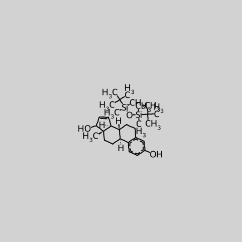 CC(C)(C)[Si](C)(C)O[Si](C)(C)C(C)(C)C.C[C@]12CC[C@@H]3c4ccc(O)cc4CC[C@H]3[C@@H]1C=CC2O